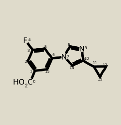 O=C(O)c1cc(F)cc(-n2cnc(C3CC3)c2)c1